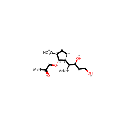 CNC(=O)CO[C@H]1[C@@H]([C@H](NC(C)=O)[C@@H](O)CCO)CC[C@@H]1C(=O)O